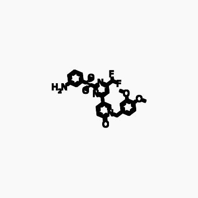 COc1ccc(Cn2cc(-c3cc(C(F)F)nc(S(=O)(=O)c4cccc(N)c4)n3)ccc2=O)cc1OC